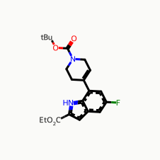 CCOC(=O)c1cc2cc(F)cc(C3=CCN(C(=O)OC(C)(C)C)CC3)c2[nH]1